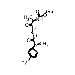 C[C@H](NC(=O)OC(C)(C)C)C(=O)OCOC(=O)N(C)c1ccc(C(F)(F)F)cc1